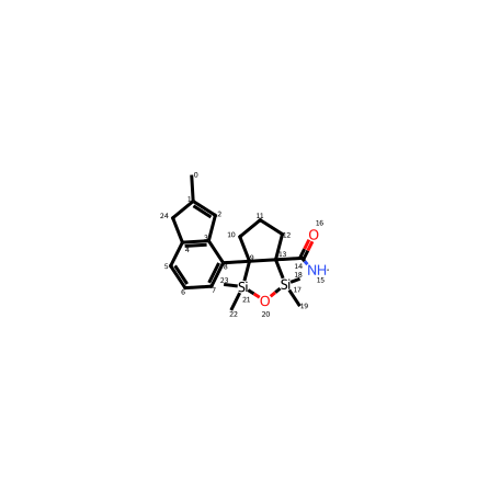 CC1=Cc2c(cccc2C23CCCC2(C([NH])=O)[Si](C)(C)O[Si]3(C)C)C1